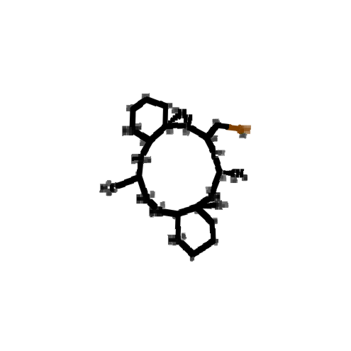 CC1BBC2BCCC[C@@H]2B[C@@H](C)CC(CS)B[C@@H]2CCCBC2B1